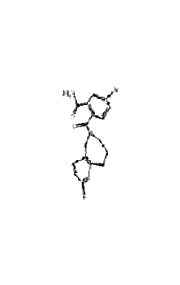 NC(=O)c1cc(Br)ccc1C(=O)N1CCCc2cc(F)ccc2C1